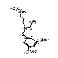 COc1cc(OC)cc(SN(CCCNC(=O)O)CC(C)C)c1